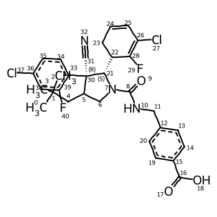 CC(C)(C)CC1CN(C(=O)NCc2ccc(C(=O)O)cc2)[C@@H](C2CC=CC(Cl)=C2F)[C@]1(C#N)c1ccc(Cl)cc1F